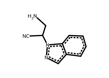 N#CC(CN)n1ncc2ccccc21